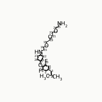 CC(C)=Cc1cc(F)c(Oc2ccc(NCCOCCOCCOCCN)cc2)c(F)c1